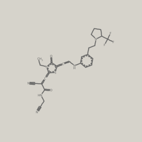 CCn1c(=C=C(C#N)C(=O)NCC#N)sc(=C=CNc2cccc(CCN3CCCC3C(F)(F)F)c2)c1=O